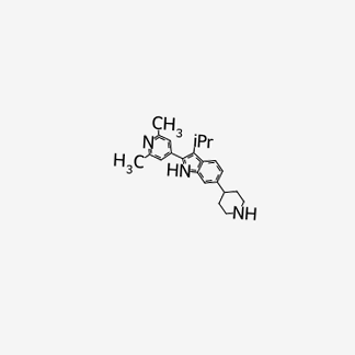 Cc1cc(-c2[nH]c3cc(C4CCNCC4)ccc3c2C(C)C)cc(C)n1